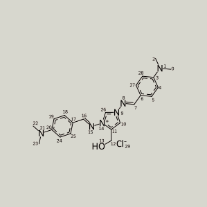 CN(C)c1ccc(C=Nn2cc(CO)[n+](N=Cc3ccc(N(C)C)cc3)c2)cc1.[Cl-]